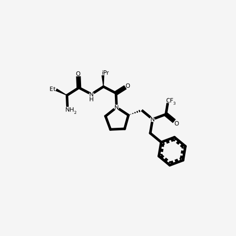 CC[C@H](N)C(=O)N[C@H](C(=O)N1CCC[C@H]1CN(Cc1ccccc1)C(=O)C(F)(F)F)C(C)C